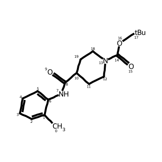 Cc1ccccc1NC(=O)C1CCN(C(=O)OC(C)(C)C)CC1